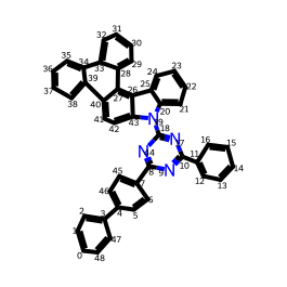 c1ccc(-c2ccc(-c3nc(-c4ccccc4)nc(-n4c5ccccc5c5c6c7ccccc7c7ccccc7c6ccc54)n3)cc2)cc1